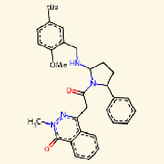 COc1ccc(C(C)(C)C)cc1CNC1CCC(c2ccccc2)N1C(=O)Cc1nn(C)c(=O)c2ccccc12